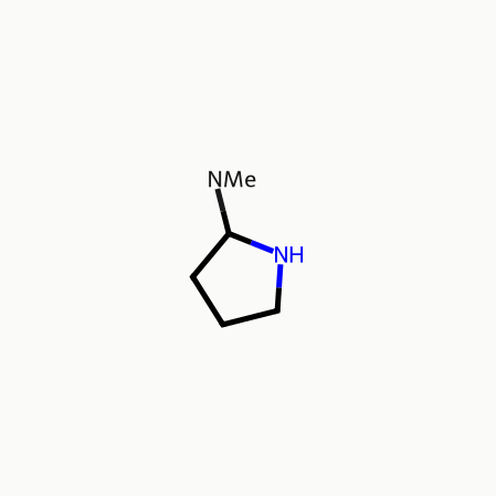 CNC1CCCN1